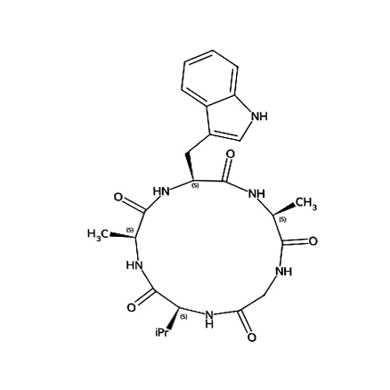 CC(C)[C@@H]1NC(=O)CNC(=O)[C@H](C)NC(=O)[C@H](Cc2c[nH]c3ccccc23)NC(=O)[C@H](C)NC1=O